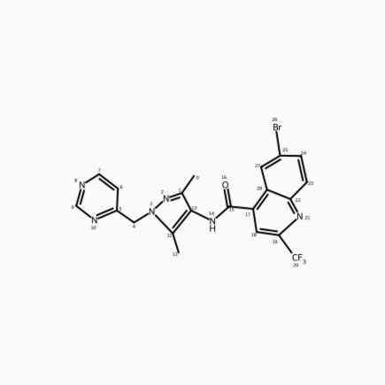 Cc1nn(Cc2ccncn2)c(C)c1NC(=O)c1cc(C(F)(F)F)nc2ccc(Br)cc12